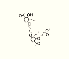 CCCc1c(OCCCCOc2ccc(C(C)=O)c(OCCCC(=O)OCC)c2CCC)ccc(C(C)=O)c1O